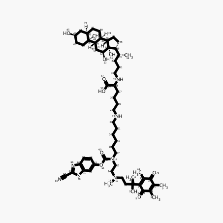 CC1=C(C)C(=O)C(C(C)(C)CCN(C)CCN(CCCCCCNCCCCC(NCCC[C@@H](C)[C@H]2CC[C@H]3[C@@H]4CC[C@@H]5C[C@H](O)CC[C@]5(C)[C@H]4C[C@H](O)[C@]23C)C(=O)O)C(=O)Oc2ccc3nc(C#N)sc3c2)=C(C)C1=O